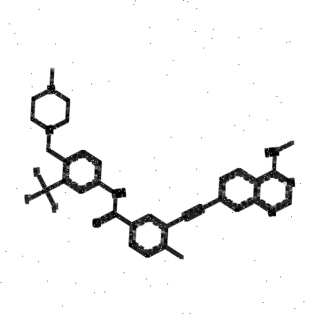 CNc1ncnc2cc(C#Cc3cc(C(=O)Nc4ccc(CN5CCN(C)CC5)c(C(F)(F)F)c4)ccc3C)ccc12